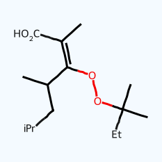 CCC(C)(C)OOC(=C(C)C(=O)O)C(C)CC(C)C